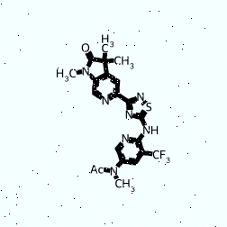 CC(=O)N(C)c1cnc(Nc2nc(-c3cc4c(cn3)N(C)C(=O)C4(C)C)ns2)c(C(F)(F)F)c1